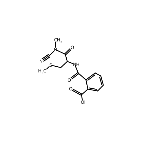 CSCC(NC(=O)c1ccccc1C(=O)O)C(=O)N(C)C#N